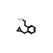 [CH2]CCc1ccccc1[CH]C1CC1